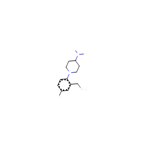 CC(=O)NCc1cc(C)ccc1N1CCC(N(C)C)CC1